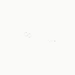 CNCCCCCCCCOc1ccc2cc(Br)ccc2c1